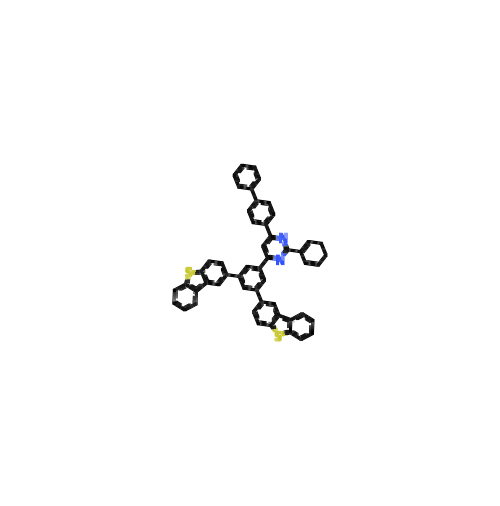 C1=CC(c2nc(-c3ccc(-c4ccccc4)cc3)cc(-c3cc(-c4ccc5sc6ccccc6c5c4)cc(-c4ccc5sc6ccccc6c5c4)c3)n2)=CCC1